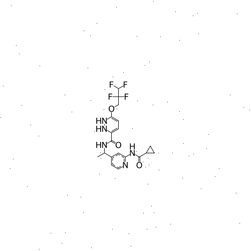 CC(NC(=O)C1=CC=C(OCC(F)(F)C(F)F)NN1)c1ccnc(NC(=O)C2CC2)c1